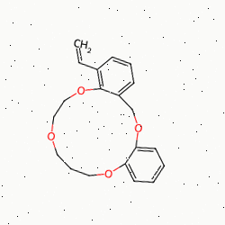 C=Cc1cccc2c1OCCOCCCOc1ccccc1OC2